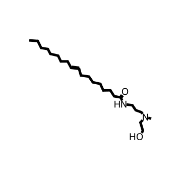 CCCCCCCCC=CCCCCCCCC(=O)NCCCN(C)CCO